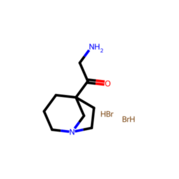 Br.Br.NCC(=O)C12CCCN(CC1)C2